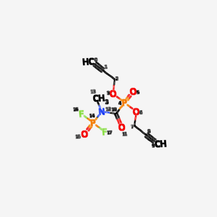 C#CCOP(=O)(OCC#C)C(=O)N(C)P(=O)(F)F